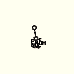 OC1N(c2c(F)cc(C#Cc3ccccc3)cc2F)c2nccn2C12CC2